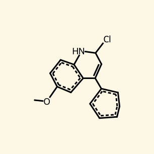 COc1ccc2c(c1)C(c1ccccc1)=CC(Cl)N2